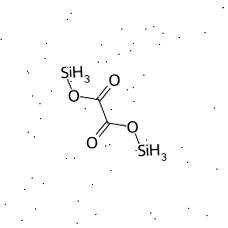 O=C(O[SiH3])C(=O)O[SiH3]